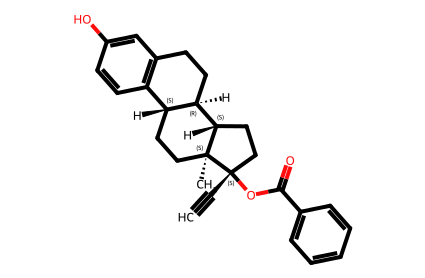 C#C[C@]1(OC(=O)c2ccccc2)CC[C@H]2[C@@H]3CCc4cc(O)ccc4[C@H]3CC[C@@]21C